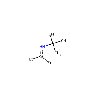 CC[SiH](CC)NC(C)(C)C